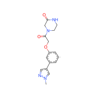 Cn1cc(-c2c[c]cc(OCC(=O)N3CCNC(=O)C3)c2)cn1